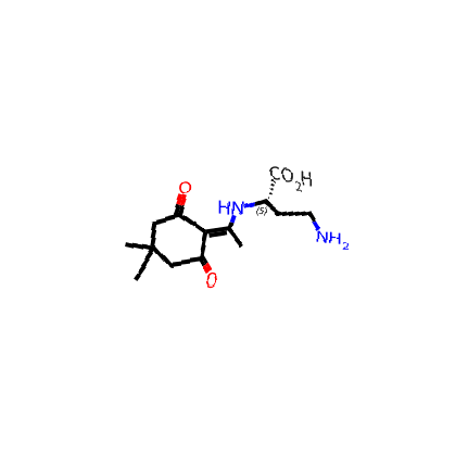 CC(N[C@@H](CCN)C(=O)O)=C1C(=O)CC(C)(C)CC1=O